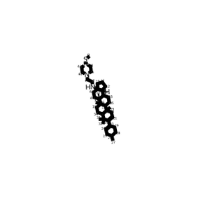 CSN1CCN(CCNC23CCC[C@@H]2C2CCC4C5(C)CC=C(C6=CCC(C)CC6)C(C)(C)C5CCC4(C)[C@]2(C)CC3)CC1